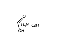 N.O=CO.[CsH]